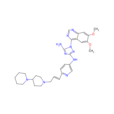 COc1cc2ncnc(-n3nc(Nc4ccc(C=CCN5CCC(N6CCCCC6)CC5)nc4)nc3N)c2cc1OC